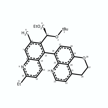 CCOC(=O)[C@@H](OC(C)(C)C)c1c(C)cc2nc(CC)ccc2c1-c1ccc2c3c(ccnc13)CCO2